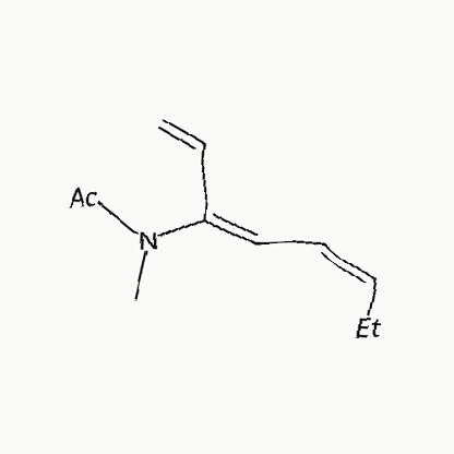 C=C/C(=C\C=C/CC)N(C)C(C)=O